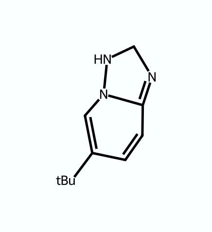 CC(C)(C)C1=CN2NCN=C2C=C1